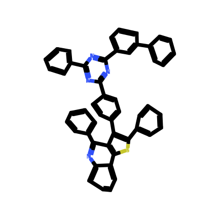 c1ccc(-c2cccc(-c3nc(-c4ccccc4)nc(-c4ccc(-c5c(-c6ccccc6)sc6c5c(-c5ccccc5)nc5ccccc56)cc4)n3)c2)cc1